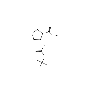 COC(=O)[C@@H]1COC[C@H]1NC(=O)OC(C)(C)C